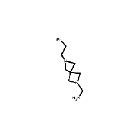 CC(C)CCN1CC2(CN(CN)C2)C1